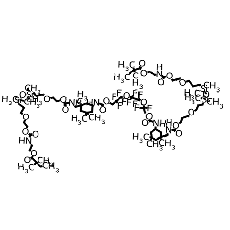 CCC(C)(C)C(=O)OCCNC(=O)OCCOCCC[Si](C)(C)O[Si](C)(C)CCCOCCCOC(=O)NCC1(C)CC(NC(=O)OCC(F)(F)OC(F)(F)C(F)(F)OC(F)(F)C(F)(F)COC(=O)NC2CC(C)(C)CC(C)(CNC(=O)OCCOCCC[Si](C)(C)O[Si](C)(C)CCCOCCOC(=O)NCCOC(=O)C(C)(C)CC)C2)CC(C)(C)C1